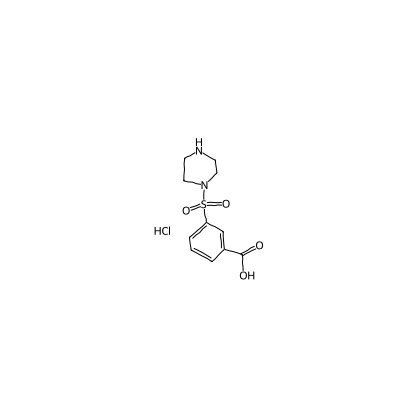 Cl.O=C(O)c1cccc(S(=O)(=O)N2CCNCC2)c1